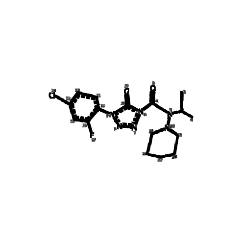 CC(C)N(C(=O)n1nnn(-c2ccc(Cl)cc2F)c1=O)N1CCCCC1